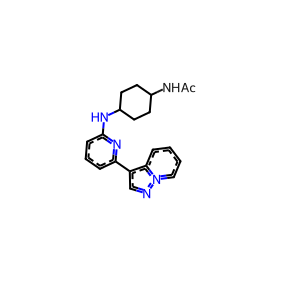 CC(=O)NC1CCC(Nc2cccc(-c3cnn4ccccc34)n2)CC1